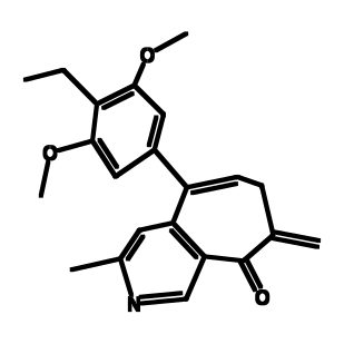 C=C1CC=C(c2cc(OC)c(CC)c(OC)c2)c2cc(C)ncc2C1=O